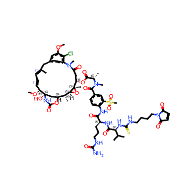 COc1cc2cc(c1Cl)N(C)C(=O)C[C@H](OC(=O)[C@H](C)N(C)C(=O)c1ccc(NC(=O)[C@H](CCCNC(N)=O)NC(=O)[C@@H](NC(=S)NCCCCN3C(=O)C=CC3=O)C(C)C)c(S(C)(=O)=O)c1)[C@]1(C)O[C@H]1[C@H](C)[C@@H]1C[C@@](O)(NC(=O)O1)[C@H](OC)/C=C/C=C(\C)C2